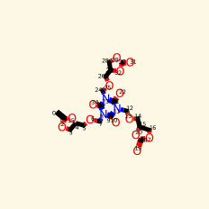 C=C1OCC(COCn2c(=O)n(COCC3COC(=O)O3)c(=O)n(COCC3COC(=O)O3)c2=O)O1